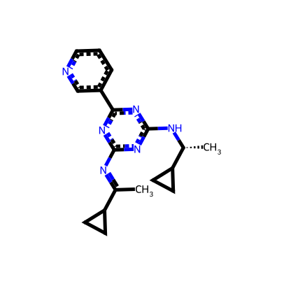 C/C(=N\c1nc(N[C@H](C)C2CC2)nc(-c2cccnc2)n1)C1CC1